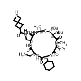 CCCC[C@H]1C(=O)N(C)[C@@H](CCC)C(=O)N[C@@H](C2CCCCC2)C(=O)N[C@@H](CN)C(=O)N[C@@H](CNC(=O)C2CC3(CNC3)C2)C(=O)N[C@H](C)CN1CCCC